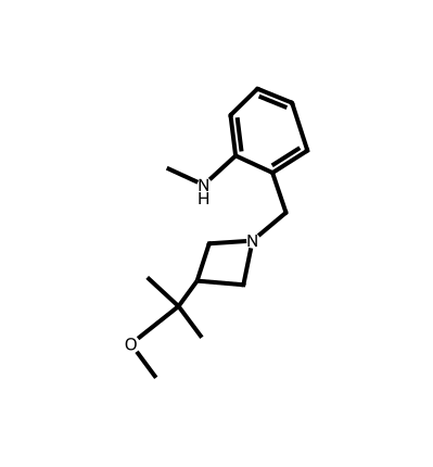 CNc1ccccc1CN1CC(C(C)(C)OC)C1